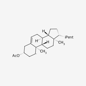 CCC[C@@H](C)[C@H]1CC[C@H]2[C@@H]3CC=C4C[C@@H](OC(C)=O)C[CH][C@]4(C)[C@H]3CC[C@]12C